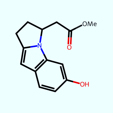 COC(=O)CC1CCc2cc3ccc(O)cc3n21